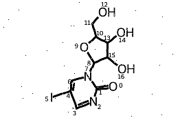 O=c1n[c]c(I)cn1C1OC(CO)C(O)C1O